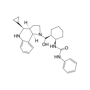 O=C(Nc1ccccc1)N[C@@H]1CCCC[C@@H]1C(O)N1CC[C@@H]2[C@H](C3CC3)Nc3ccccc3[C@@H]21